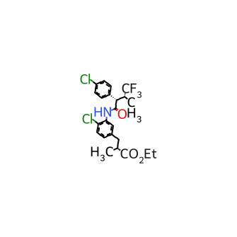 CCOC(=O)[C@@H](C)Cc1ccc(Cl)c(NC(=O)[C@H](c2ccc(Cl)cc2)[C@@H](C)C(F)(F)F)c1